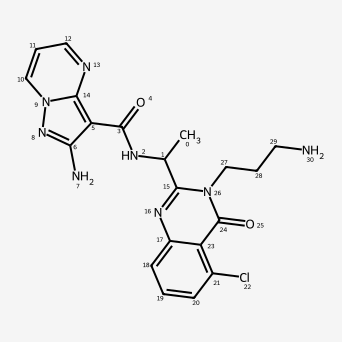 CC(NC(=O)c1c(N)nn2cccnc12)c1nc2cccc(Cl)c2c(=O)n1CCCN